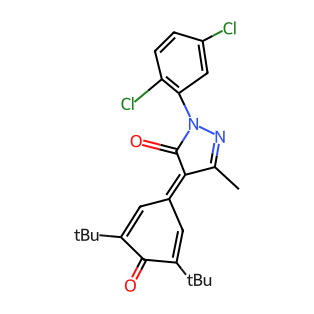 CC1=NN(c2cc(Cl)ccc2Cl)C(=O)C1=C1C=C(C(C)(C)C)C(=O)C(C(C)(C)C)=C1